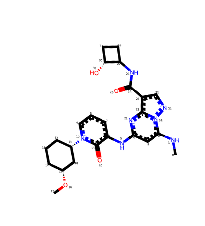 CNc1cc(Nc2cccn([C@H]3CCC[C@@H](OC)C3)c2=O)nc2c(C(=O)NC3CC[C@H]3O)cnn12